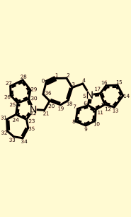 C1#CC/C(Cn2c3ccccc3c3ccccc32)=C\C=C(\Cn2c3c(c4ccccc42)C=CCC=C3)C1